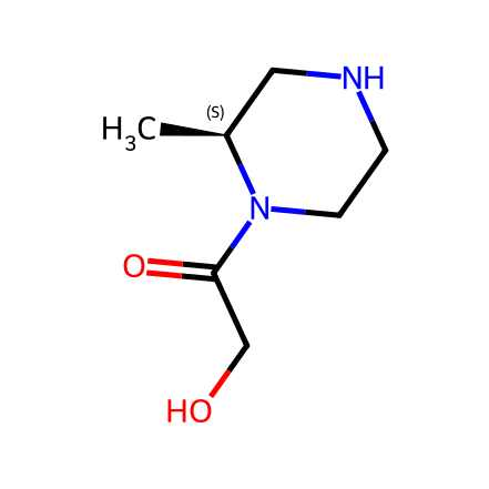 C[C@H]1CNCCN1C(=O)CO